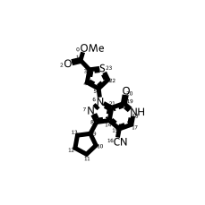 COC(=O)c1cc(-n2nc(C3CCCC3)c3c(C#N)c[nH]c(=O)c32)cs1